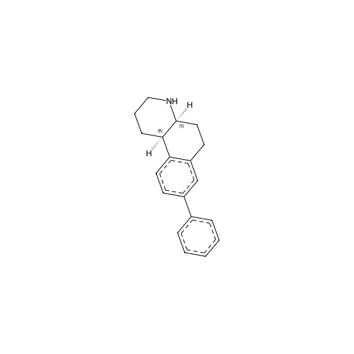 c1ccc(-c2ccc3c(c2)CC[C@@H]2NCCC[C@H]32)cc1